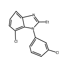 CCc1nc2cccc(Cl)c2n1-c1cccc(Cl)c1